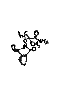 CC(C)(ON1C(=O)c2ccccc2C1=O)C(N)=O